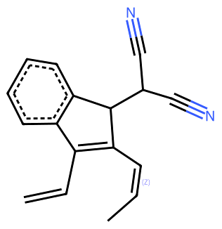 C=CC1=C(/C=C\C)C(C(C#N)C#N)c2ccccc21